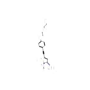 C/C=C1/C=C(C#Cc2ccc(OCCOCCF)cc2)N/C1=N/C